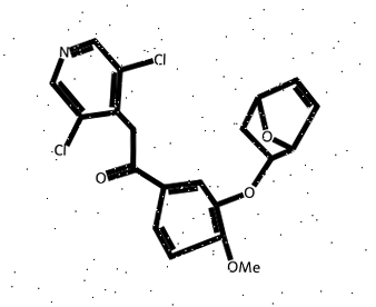 COc1ccc(C(=O)Cc2c(Cl)cncc2Cl)cc1OC1CC2C=CC1O2